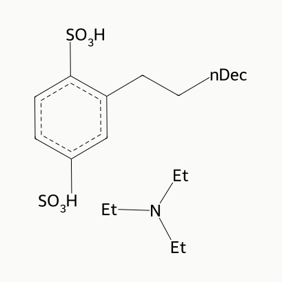 CCCCCCCCCCCCc1cc(S(=O)(=O)O)ccc1S(=O)(=O)O.CCN(CC)CC